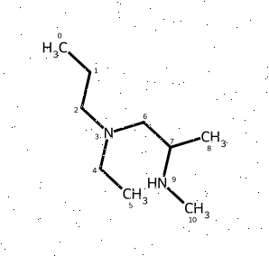 CCCN(CC)CC(C)NC